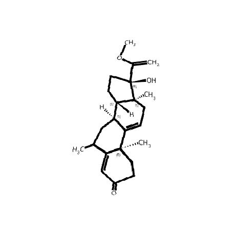 C=C(OC)[C@@]1(O)CC[C@H]2[C@@H]3CC(C)C4=CC(=O)CC[C@]4(C)C3=CC[C@@]21C